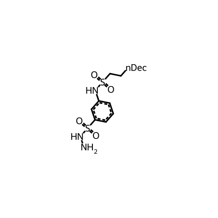 CCCCCCCCCCCCS(=O)(=O)Nc1cccc(S(=O)(=O)NN)c1